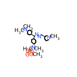 CN(C)c1ccc(C(=NN=Cc2ccc[n+](C)c2)c2ccc(N(C)C)cc2)cc1.COS(=O)(=O)[O-]